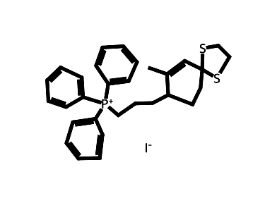 CC1=CC2(CCC1CCC[P+](c1ccccc1)(c1ccccc1)c1ccccc1)SCCS2.[I-]